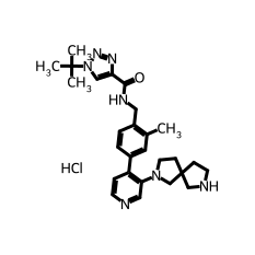 Cc1cc(-c2ccncc2N2CCC3(CCNC3)C2)ccc1CNC(=O)c1cn(C(C)(C)C)nn1.Cl